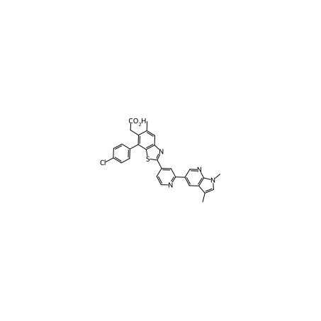 Cc1cc2nc(-c3ccnc(-c4cnc5c(c4)c(C)cn5C)c3)sc2c(-c2ccc(Cl)cc2)c1CC(=O)O